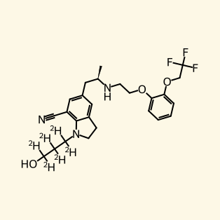 [2H]C([2H])(O)C([2H])([2H])C([2H])([2H])N1CCc2cc(C[C@@H](C)NCCOc3ccccc3OCC(F)(F)F)cc(C#N)c21